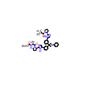 COC(=O)N[C@H](C(=O)N1CCCC1c1ncc(-c2cccc(C3(c4cccc(-c5cnc([C@@H]6CCCN6C(=O)[C@@H](C)C(C)C)[nH]5)c4)CN(c4ccccc4)C3)c2)[nH]1)C(C)C